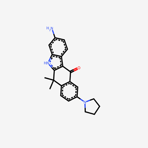 CC1(C)c2ccc(N3CCCC3)cc2C(=O)c2c1[nH]c1cc(N)ccc21